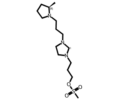 C[C@@H]1CCCN1CCCN1[C]N(CCCOS(C)(=O)=O)CC1